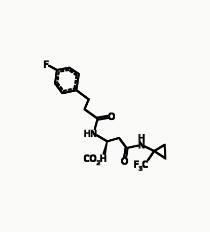 O=C(CCc1ccc(F)cc1)N[C@@H](CC(=O)NC1(C(F)(F)F)CC1)C(=O)O